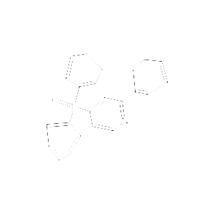 O=P(c1ccccc1)(c1ccccc1)c1ccnc(-c2ccccc2)c1